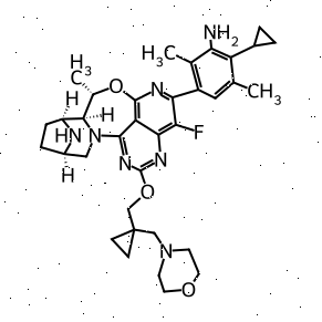 Cc1cc(-c2nc3c4c(nc(OCC5(CN6CCOCC6)CC5)nc4c2F)N2C[C@H]4CC[C@H](N4)[C@H]2[C@H](C)O3)c(C)c(N)c1C1CC1